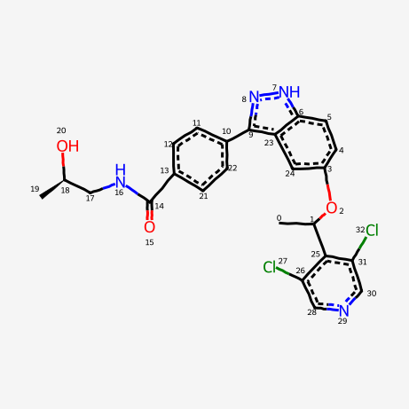 CC(Oc1ccc2[nH]nc(-c3ccc(C(=O)NC[C@@H](C)O)cc3)c2c1)c1c(Cl)cncc1Cl